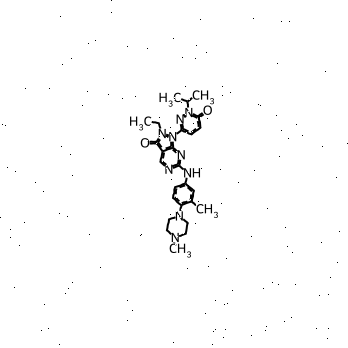 CCn1c(=O)c2cnc(Nc3ccc(N4CCN(C)CC4)c(C)c3)nc2n1-c1ccc(=O)n(C(C)C)n1